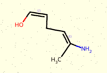 C/C(N)=C\C/C=C\O